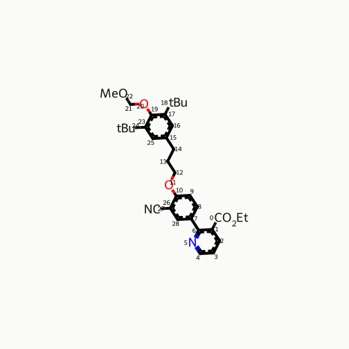 CCOC(=O)c1cccnc1-c1ccc(OCCCc2cc(C(C)(C)C)c(OCOC)c(C(C)(C)C)c2)c(C#N)c1